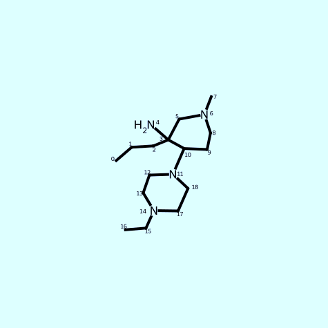 CCCC1(N)CN(C)CCC1N1CCN(CC)CC1